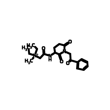 CC[N+](C)(CC)CC(=O)NC1CCC(=O)N(CC(=O)c2ccccc2)C1=O